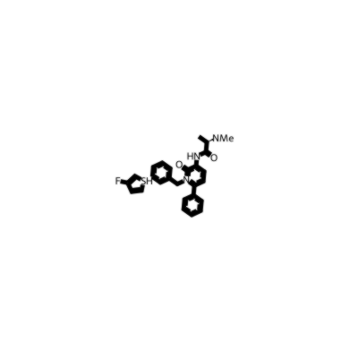 CN[C@@H](C)C(=O)Nc1ccc(-c2ccccc2)n(Cc2cccc([SH]3C=CC(F)=C3)c2)c1=O